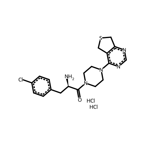 Cl.Cl.N[C@H](Cc1ccc(Cl)cc1)C(=O)N1CCN(c2ncnc3c2CSC3)CC1